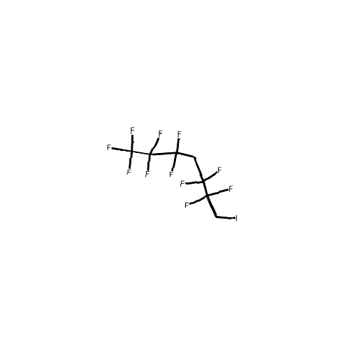 FC(F)(F)C(F)(F)C(F)(F)CC(F)(F)C(F)(F)CI